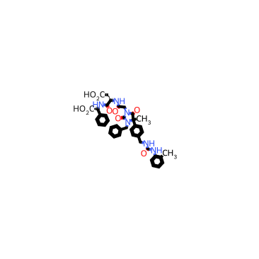 Cc1ccccc1NC(=O)NCc1ccc(C2(C)C(=O)N(CC(=O)N[C@@H](CC(=O)O)C(=O)N[C@H](C(=O)O)c3ccccc3)C(=O)N2Cc2ccccc2)cc1